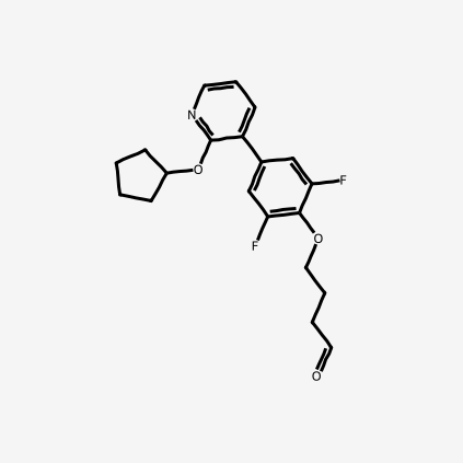 O=CCCCOc1c(F)cc(-c2cccnc2OC2CCCC2)cc1F